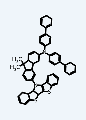 CC1(C)c2ccc(N3c4c(sc5ccccc45)C4SC5=CC=CCC5C43)cc2C2CC(N(c3ccc(C4=CCCC=C4)cc3)c3ccc(C4=CC=CCC4)cc3)C=CC21